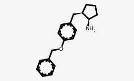 N[C@@H]1CCC[C@@H]1Cc1ccc(OCc2ccccc2)cc1